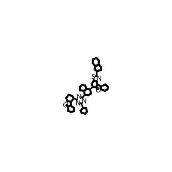 c1ccc(-c2nc(-c3ccc(-c4cc5sc(-c6ccc7ccccc7c6)nc5c5c4oc4ccccc45)c4ccccc34)nc(-c3cccc4oc5ccccc5c34)n2)cc1